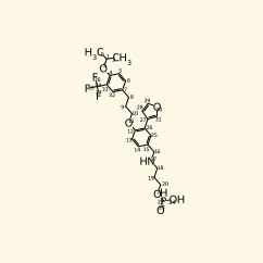 CC(C)Oc1ccc(CCCOc2ccc(CNCCCO[PH](=O)O)cc2-c2ccoc2)cc1C(F)(F)F